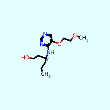 CCC[C@@H](CCO)Nc1ncncc1OCCOC